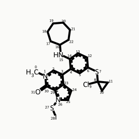 Cn1cc(-c2cc(SC3(Cl)CC3)ccc2NC2CCCCCC2)c2ccn(SI)c2c1=O